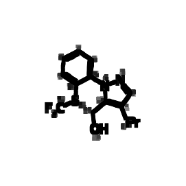 CC(C)c1cnn(-c2ccccc2SC(F)(F)F)c1CO